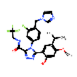 COc1cc(O)c(-c2nnc(C(=O)NCC(F)(F)F)n2-c2ccc(Cn3ccnc3)c(F)c2)cc1C(C)C